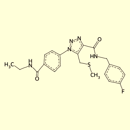 CCNC(=O)c1ccc(-n2nnc(C(=O)NCc3ccc(F)cc3)c2CSC)cc1